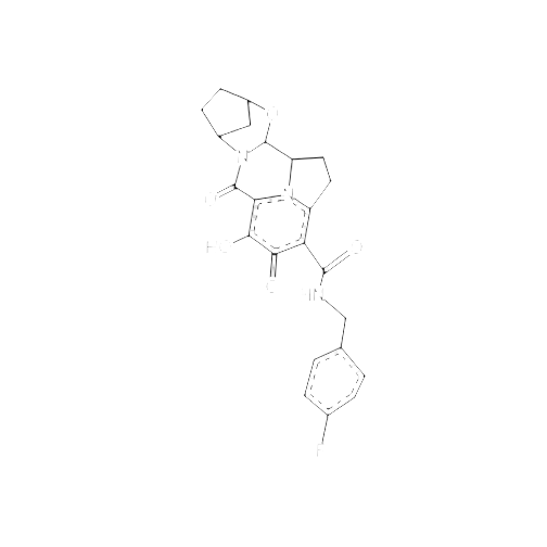 O=C(NCc1ccc(F)cc1)c1c2n3c(c(O)c1=O)C(=O)N1C4CCC(C4)OC1C3CC2